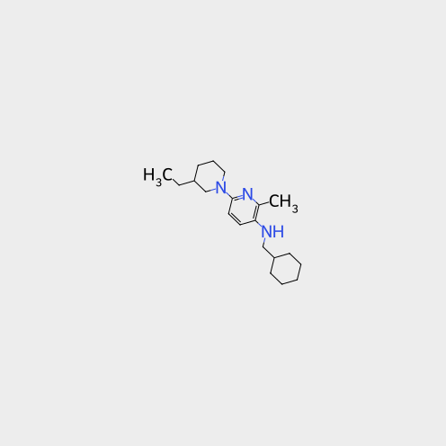 CCC1CCCN(c2ccc(NCC3CCCCC3)c(C)n2)C1